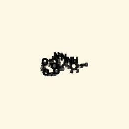 C#Cc1cccc(Nc2ccc3c4cc(ncn2)C(CO4)OCCOCCO3)c1